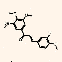 COc1ccc(/C=C/C(=O)c2cc(OC)c(OC)c([Se]C)c2)cc1F